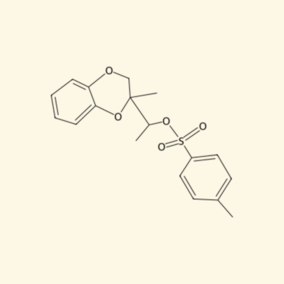 Cc1ccc(S(=O)(=O)OC(C)C2(C)COc3ccccc3O2)cc1